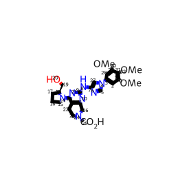 COc1cc(-n2cnc(Nc3nc4c(c(N5CCC[C@H]5CO)n3)CCN(C(=O)O)C4)c2)cc(OC)c1OC